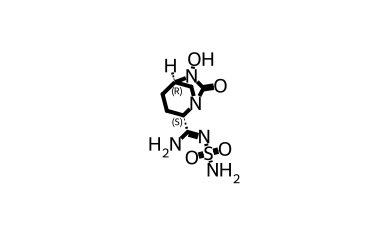 NC(=NS(N)(=O)=O)[C@@H]1CC[C@@H]2CN1C(=O)N2O